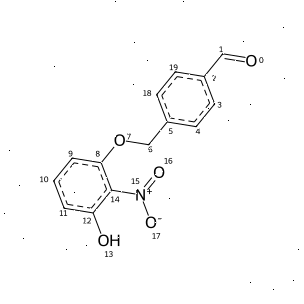 O=Cc1ccc(COc2cccc(O)c2[N+](=O)[O-])cc1